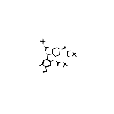 CC(C)(C)OC(=O)NC(c1cc(Cl)c(C=O)cc1OC(=O)OC(C)(C)C)C1CCN(C(=O)[C@H]2COC(C)(C)O2)CC1